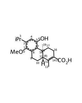 COc1c(C(C)C)cc(O)c2c1CC[C@H]1C(C)=C(C(=O)O)CC[C@]21C